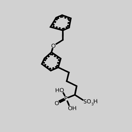 O=P(O)(O)C(CCCc1cccc(OCc2ccccc2)c1)S(=O)(=O)O